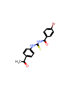 CC(=O)c1ccc(NC(=S)NC(=O)c2ccc(Br)cc2)cc1